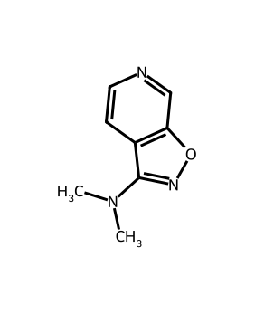 CN(C)c1noc2cnccc12